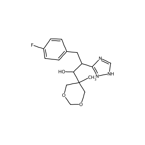 CC1(C(O)C(Cc2ccc(F)cc2)c2nc[nH]n2)COCOC1